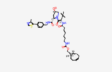 Cc1ncsc1-c1ccc(CNC(=O)[C@@H]2C[C@@H](O)CN2C(=O)[C@@H](NC(=O)CCCCCCNC(=O)OCC2[C@H]3CCC#CCC[C@@H]23)C(C)(C)C)cc1